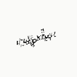 C[C@H]1C[C@@](O)(c2ccc(C(F)F)nc2)C[C@@H](COc2cc(C(F)(F)F)c3c(c2)c(F)nn3C2CC(C)(O)C2)N1